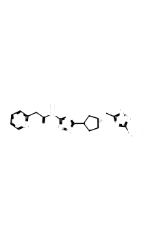 CC(=O)Nc1nnc(C[C@@H]2CCC(c3nnc(NC(=O)Cc4ccccn4)s3)C2)s1